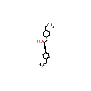 CCc1ccc(C#CC(O)CC2CCC(CC)CC2)cc1